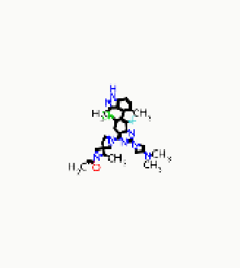 C=CC(=O)N1CC2(CCN(c3nc(N4CC(N(C)C)C4)nc4c(F)c(-c5c(C)ccc6[nH]nc(C)c56)c(Cl)cc34)C2)C1C